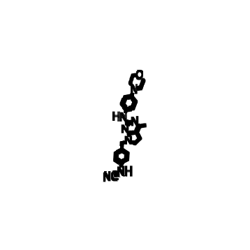 Cc1nc(Nc2ccc(N3CCOCC3)cc2)nc2c1CCN2Cc1ccc(NC#N)cc1